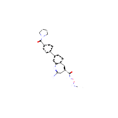 CC(C)(C)NONC(=O)C1=Cc2ccc(-c3ccc(C(=O)N4CCCC4)cc3)cc2N=C(N)C1